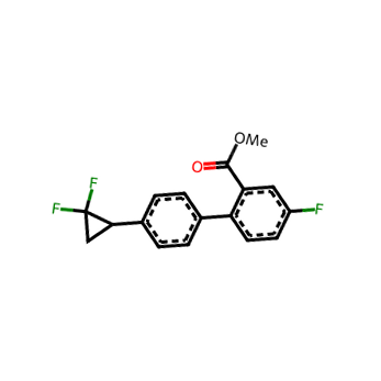 COC(=O)c1cc(F)ccc1-c1ccc(C2CC2(F)F)cc1